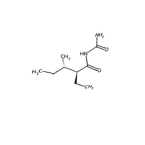 CC[C@H](C(=O)NC(N)=O)[C@@H](C)CC